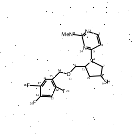 CNc1nccc(N2CC(S)CC2COCc2cc(F)c(F)cc2F)n1